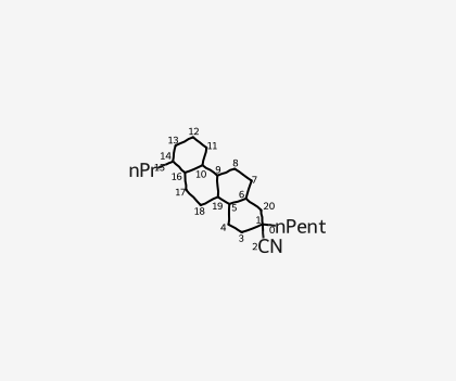 CCCCCC1(C#N)CCC2C(CCC3C4CCCC(CCC)C4CCC23)C1